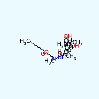 CCCCCCCCCCC(=O)OCCCCN(C)CCNC(=O)CC[C@@H](C)[C@H]1CC[C@H]2[C@@H]3[C@H](O)[C@H](CC)[C@@H]4C[C@H](O)CC[C@]4(C)[C@H]3CC[C@]12C